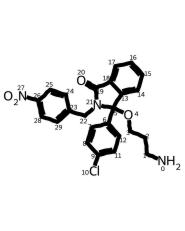 NCCCOC1(c2ccc(Cl)cc2)c2ccccc2C(=O)N1Cc1ccc([N+](=O)[O-])cc1